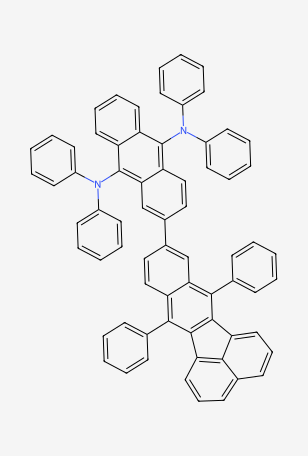 c1ccc(-c2c3c(c(-c4ccccc4)c4cc(-c5ccc6c(N(c7ccccc7)c7ccccc7)c7ccccc7c(N(c7ccccc7)c7ccccc7)c6c5)ccc24)-c2cccc4cccc-3c24)cc1